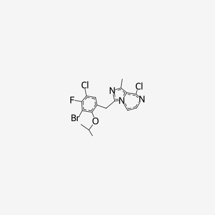 Cc1nc(Cc2cc(Cl)c(F)c(Br)c2OC(C)C)n2ccnc(Cl)c12